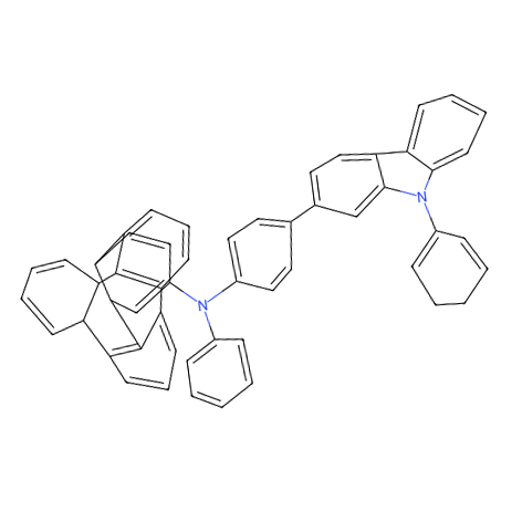 C1=CC2c3cccc4c3C3C=C(N(c5ccccc5)c5ccc(-c6ccc7c8ccccc8n(C8=CCCC=C8)c7c6)cc5)C=CC3c3cccc-4c3C2C=C1